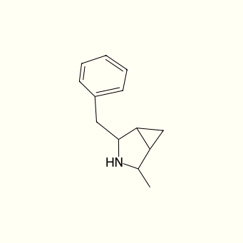 CC1NC(Cc2ccccc2)C2CC12